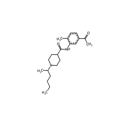 CCCCC(C)N1CCC(C(=O)Nc2cc(C(C)=O)ccc2C)CC1